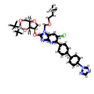 CC(C)(C)[Si]1(C(C)(C)C)OC[C@H]2OC[C@@H](Oc3nc4nc(-c5ccc(-c6ccc(-n7cncn7)cc6)cc5)c(Cl)cc4n3COCC[Si](C)(C)C)[C@@H]2O1